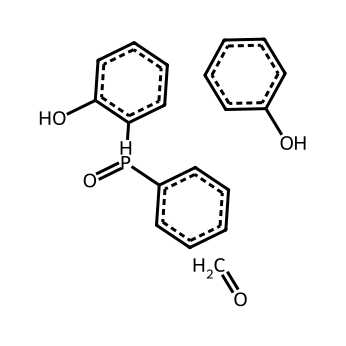 C=O.O=[PH](c1ccccc1)c1ccccc1O.Oc1ccccc1